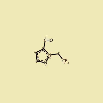 O=Cc1ccnn1CC(F)(F)F